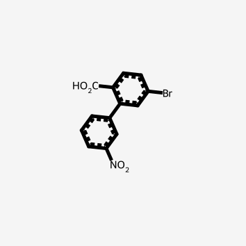 O=C(O)c1ccc(Br)cc1-c1cccc([N+](=O)[O-])c1